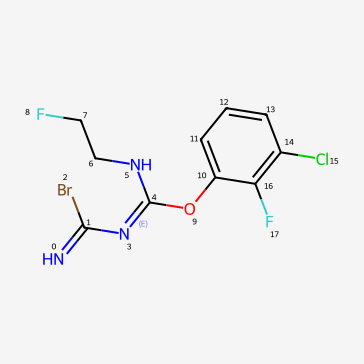 N=C(Br)/N=C(\NCCF)Oc1cccc(Cl)c1F